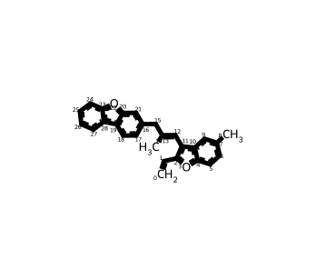 C=Cc1oc2ccc(C)cc2c1/C=C(\C)Cc1ccc2c(c1)oc1ccccc12